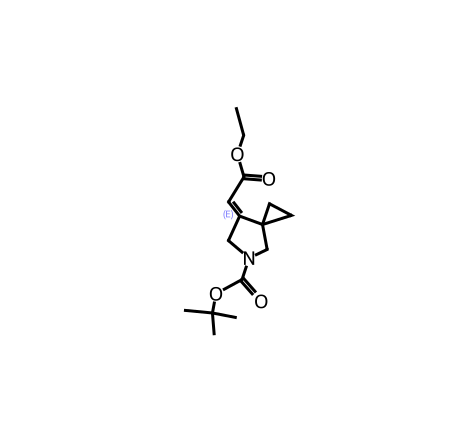 CCOC(=O)/C=C1/CN(C(=O)OC(C)(C)C)CC12CC2